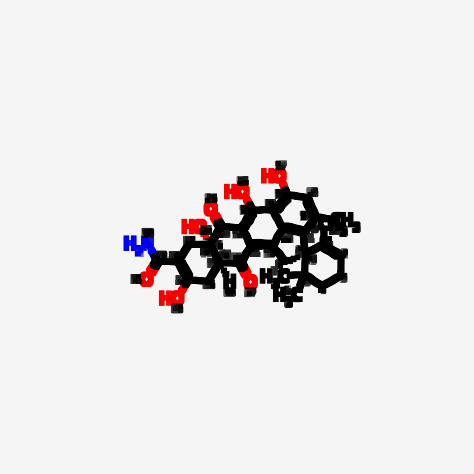 CC1=CCCC(C)(C)[C@]12Cc1c3c(c(O)c4c(O)cc(C)c2c14)C(=O)[C@]1(O)CC(C(N)=O)=C(O)C[C@@H]1C3=O